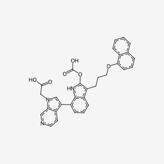 O=C(O)Cn1cc(-c2cccc3c(CCCOc4cccc5ccccc45)c(OC(=O)O)[nH]c23)c2ccncc21